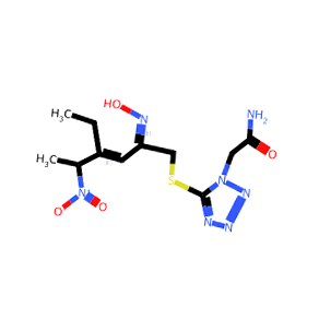 CC/C(=C\C(CSc1nnnn1CC(N)=O)=N/O)C(C)[N+](=O)[O-]